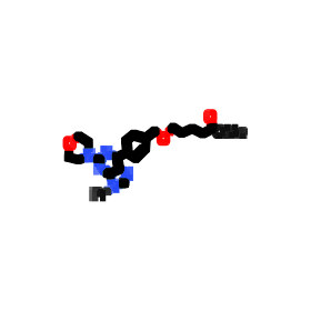 COC(=O)CCCCOCc1ccc(-c2nc(N3CCOCC3)nc3c2ncn3C(C)C)cc1